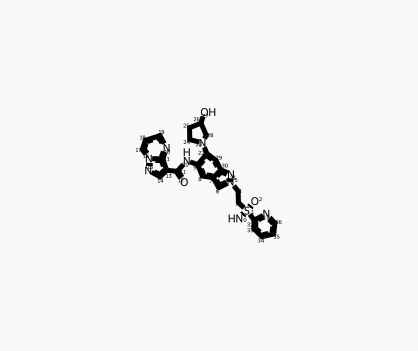 N=S(=O)(CCn1cc2cc(NC(=O)c3cnn4cccnc34)c(N3CCC(O)C3)cc2n1)c1ccccn1